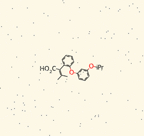 CC(C)=C(C(=O)O)c1ccccc1Oc1cccc(OC(C)C)c1